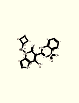 O=c1c(C2=NS(=O)(=O)c3ccccc3N2)c(O)c2sccc2n1NC1CCC1